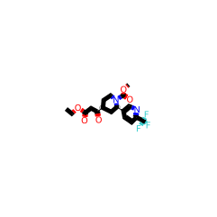 CCOC(=O)CC(=O)[C@@H]1CCN(C(=O)OC)[C@H](c2ccc(C(F)(F)F)nc2)C1